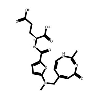 CC1=NC(=O)C=C(CN(C)c2ccc(C(=O)N[C@@H](CCC(=O)O)C(=O)O)s2)C=CN1